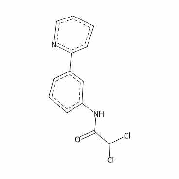 O=C(Nc1cccc(-c2ccccn2)c1)C(Cl)Cl